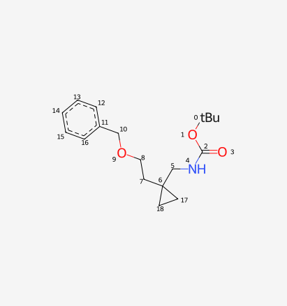 CC(C)(C)OC(=O)NCC1(CCOCc2ccccc2)CC1